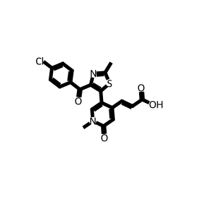 Cc1nc(C(=O)c2ccc(Cl)cc2)c(-c2cn(C)c(=O)cc2C=CC(=O)O)s1